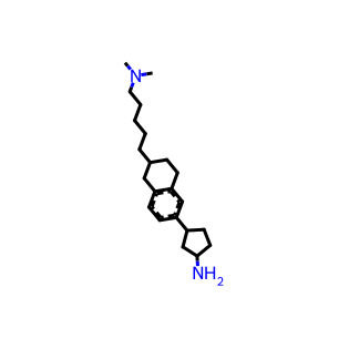 CN(C)CCCCCC1CCc2cc(C3CCC(N)C3)ccc2C1